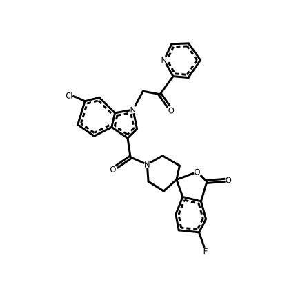 O=C(Cn1cc(C(=O)N2CCC3(CC2)OC(=O)c2cc(F)ccc23)c2ccc(Cl)cc21)c1ccccn1